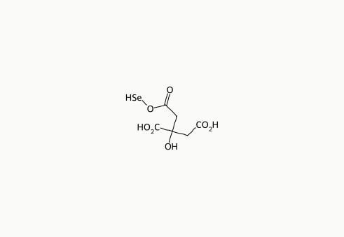 O=C(O)CC(O)(CC(=O)O[SeH])C(=O)O